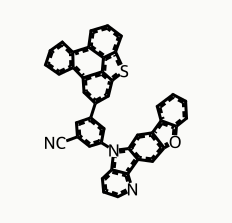 N#Cc1cc(-c2cc3sc4cccc5c6ccccc6c(c2)c3c45)cc(-n2c3cc4c(cc3c3ncccc32)oc2ccccc24)c1